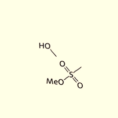 CO.COS(C)(=O)=O